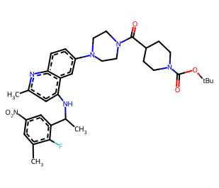 Cc1cc(NC(C)c2cc([N+](=O)[O-])cc(C)c2F)c2cc(N3CCN(C(=O)C4CCN(C(=O)OC(C)(C)C)CC4)CC3)ccc2n1